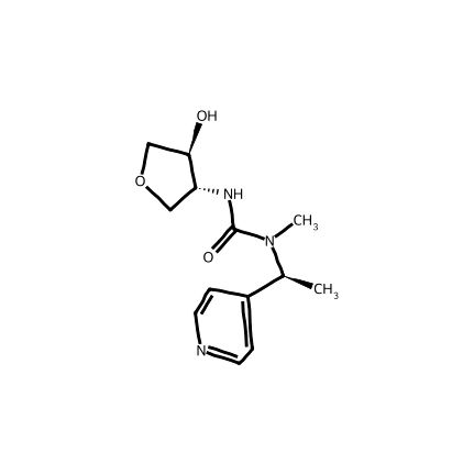 C[C@@H](c1ccncc1)N(C)C(=O)N[C@@H]1COC[C@H]1O